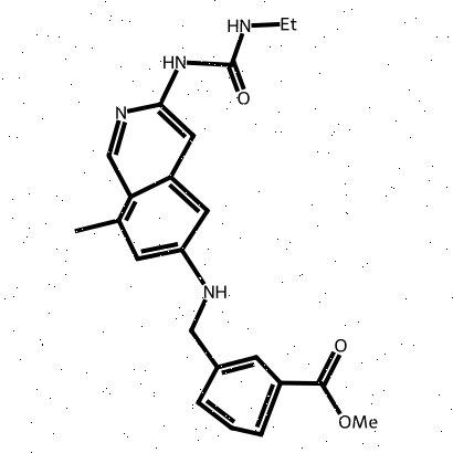 CCNC(=O)Nc1cc2cc(NCc3cccc(C(=O)OC)c3)cc(C)c2cn1